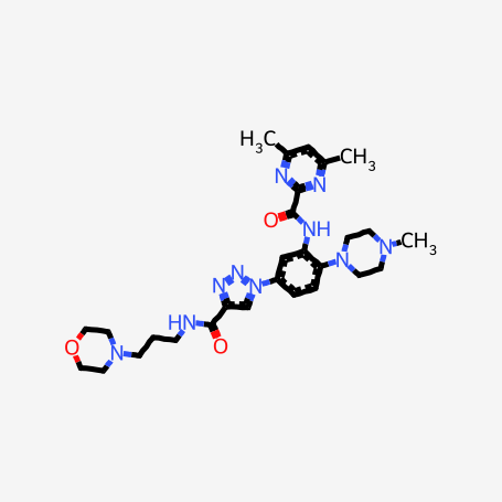 Cc1cc(C)nc(C(=O)Nc2cc(-n3cc(C(=O)NCCCN4CCOCC4)nn3)ccc2N2CCN(C)CC2)n1